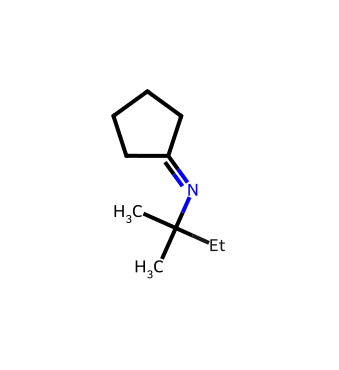 CCC(C)(C)N=C1CCCC1